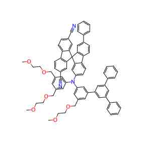 COCCOCc1cc(COCCOC)cc(N(c2cc(COCCOC)cc(-c3cc(-c4ccccc4)cc(-c4ccccc4)c3)c2)c2ccc3c(c2)C2(c4cc(C#N)ccc4-c4ccc(C#N)cc42)c2cc(-c4ccccc4)ccc2-3)c1